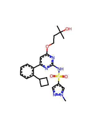 Cn1cc(S(=O)(=O)Nc2nc(OCCC(C)(C)O)cc(-c3ccccc3C3CCC3)n2)cn1